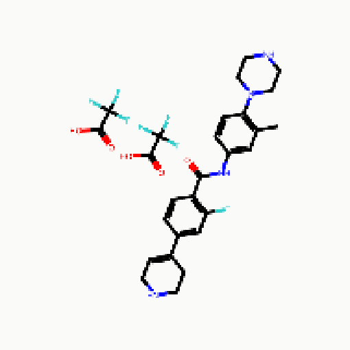 Cc1cc(NC(=O)c2ccc(C3=CCNCC3)cc2F)ccc1N1CCNCC1.O=C(O)C(F)(F)F.O=C(O)C(F)(F)F